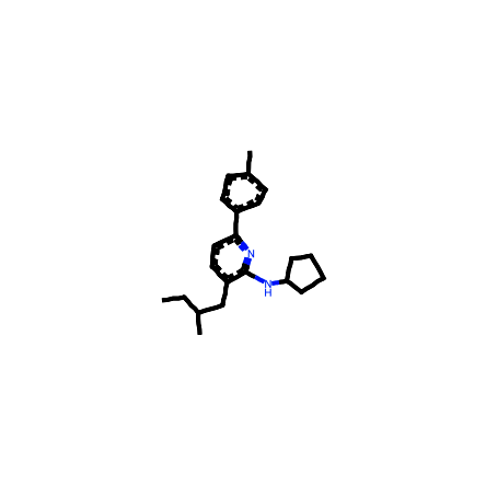 CCC(C)Cc1ccc(-c2ccc(C)cc2)nc1NC1CCCC1